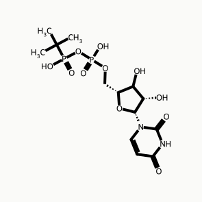 CC(C)(C)P(=O)(O)OP(=O)(O)OC[C@H]1O[C@@H](n2ccc(=O)[nH]c2=O)[C@@H](O)C1O